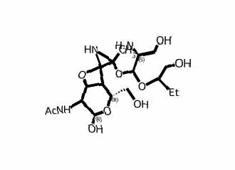 CCC(CO)OC(OC1(C)NC12OC1C(NC(C)=O)[C@H](O)O[C@@H](CO)C12)[C@@H](N)CO